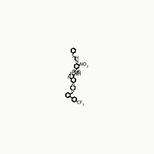 O=[N+]([O-])c1cc(S(=O)(=O)Nc2ncnc3cc(N4CCN(Cc5ccccc5-c5ccc(C(F)(F)F)cc5)CC4)ccc23)ccc1NCCSc1ccccc1